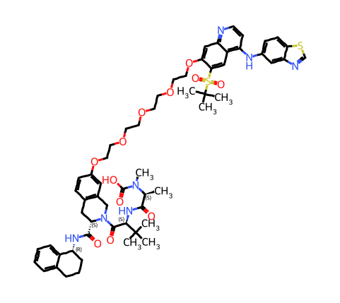 C[C@@H](C(=O)N[C@H](C(=O)N1Cc2cc(OCCOCCOCCOCCOc3cc4nccc(Nc5ccc6scnc6c5)c4cc3S(=O)(=O)C(C)(C)C)ccc2C[C@H]1C(=O)N[C@@H]1CCCc2ccccc21)C(C)(C)C)N(C)C(=O)O